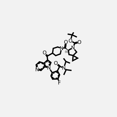 CC(C)N(C(=O)c1cc(F)ccc1-n1cc(C(=O)C2CCN(C(=O)[C@@H]3CC4(CC4)CN3C(=O)OC(C)(C)C)CC2)c2ccncc21)C(C)C